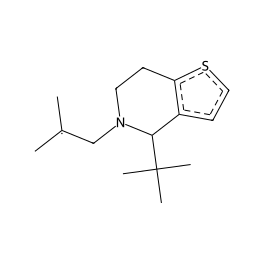 C[C](C)CN1CCc2sccc2C1C(C)(C)C